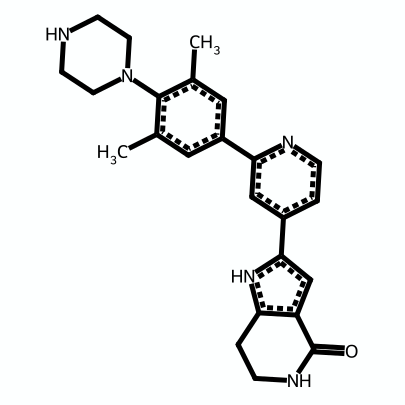 Cc1cc(-c2cc(-c3cc4c([nH]3)CCNC4=O)ccn2)cc(C)c1N1CCNCC1